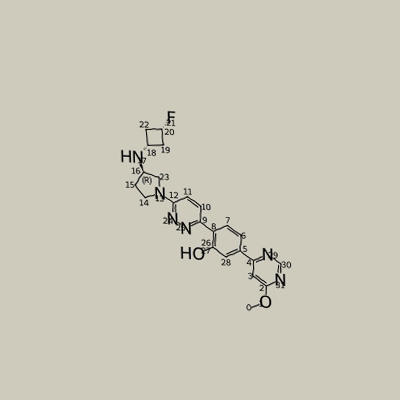 COc1cc(-c2ccc(-c3ccc(N4CC[C@@H](N[C@H]5C[C@@H](F)C5)C4)nn3)c(O)c2)ncn1